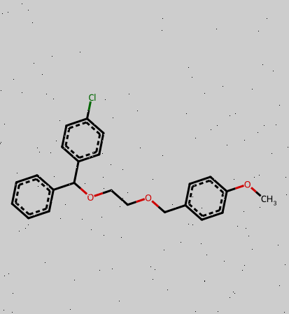 COc1ccc(COCCOC(c2ccccc2)c2ccc(Cl)cc2)cc1